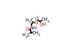 C=C(C)C(=O)NCC(C)OC(=O)C(C)O